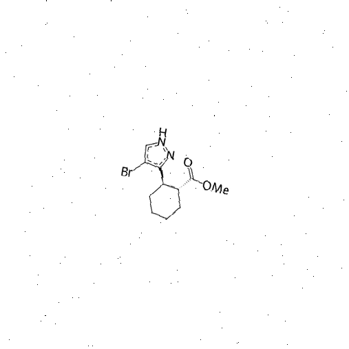 COC(=O)[C@@H]1CCCC[C@H]1c1n[nH]cc1Br